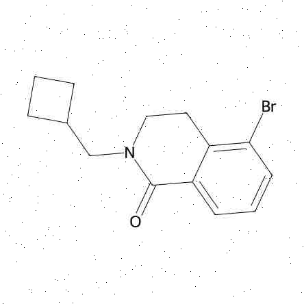 O=C1c2cccc(Br)c2CCN1CC1CCC1